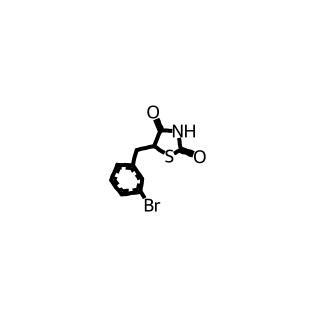 O=C1NC(=O)C(Cc2cccc(Br)c2)S1